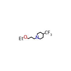 CCOCCCN1CCC(C(F)(F)F)CC1